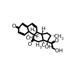 C[C@H]1C[C@H]2[C@@H]3C=CC4=CC(=O)C=C[C@]4(C)[C@@]3(F)C(=O)C[C@]2(C)[C@@]1(O)C(=O)CO